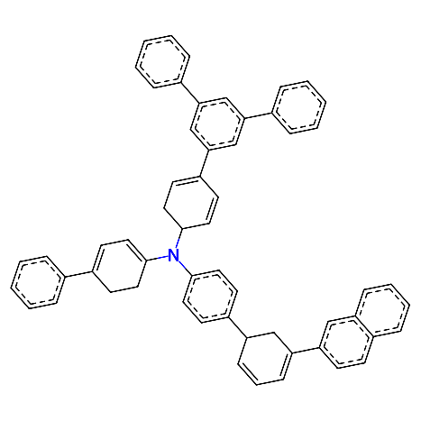 C1=CC(c2ccc(N(C3=CC=C(c4ccccc4)CC3)C3C=CC(c4cc(-c5ccccc5)cc(-c5ccccc5)c4)=CC3)cc2)CC(c2ccc3ccccc3c2)=C1